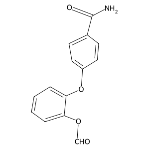 NC(=O)c1ccc(Oc2ccccc2OC=O)cc1